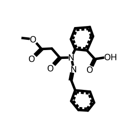 COC(=O)CC(=O)N(N=Cc1ccccc1)c1ccccc1C(=O)O